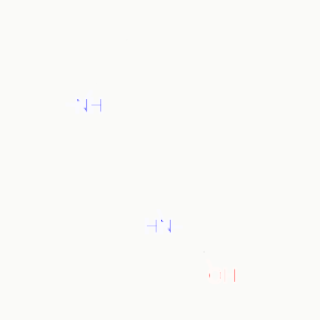 OC(c1ccccc1)(c1ccccc1)C1CCC(c2ccc(C(c3ccccc3)C3CCCCN3)cc2)CN1